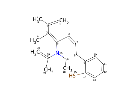 C=C(C)/C(C)=C(\C=C/Cc1ccccc1S)N(CC)C(=C)C